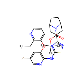 CCc1ncccc1Oc1cc(Br)cnc1Nc1nc(C2CC3CCC(C2)N3C(=O)OC(C)(C)C)ns1